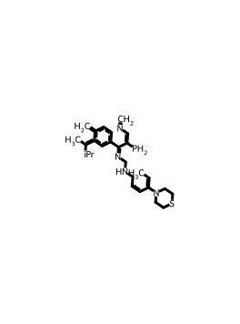 C=N/C=C(P)\C(=N/CNC/C=C\C(=C/C)N1CCSCC1)c1ccc(=C)/c(=C(\C)C(C)C)c1